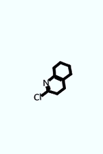 ClC1=NC2=C(CCCC2)CC1